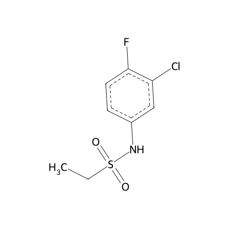 CCS(=O)(=O)Nc1ccc(F)c(Cl)c1